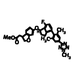 COC(=O)CC1COc2cc(O[C@@H]3CCc4c(-c5c(C)cc(-c6nnn(C)n6)cc5C)ccc(F)c43)ccc21